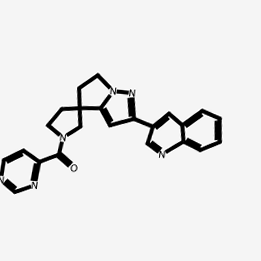 O=C(c1ccncn1)N1CCC2(CCn3nc(-c4cnc5ccccc5c4)cc32)C1